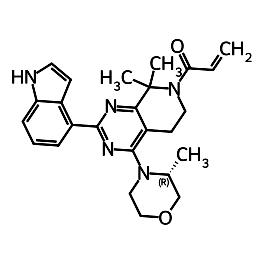 C=CC(=O)N1CCc2c(N3CCOC[C@H]3C)nc(-c3cccc4[nH]ccc34)nc2C1(C)C